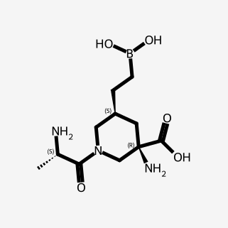 C[C@H](N)C(=O)N1C[C@@H](CCB(O)O)C[C@](N)(C(=O)O)C1